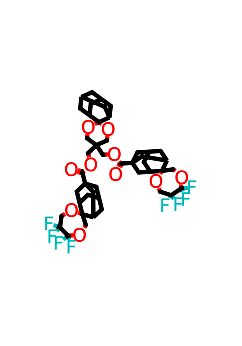 O=C(OCC1(COC(=O)C23CC4CC(C2)C2(COC(F)(F)C(F)(F)CO2)C(C4)C3)COC2(OC1)C1CC3CC(C1)CC2C3)C12CC3CC(C1)C1(COC(F)(F)C(F)(F)CO1)C(C3)C2